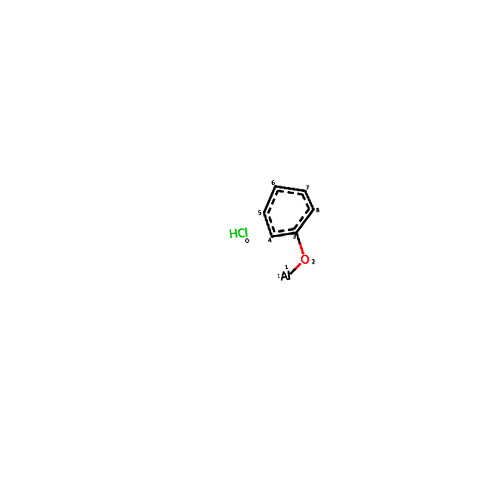 Cl.[Al][O]c1ccccc1